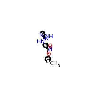 Cc1cccc(OCc2noc3cc(Nc4n[nH]c5cccnc45)ccc23)c1